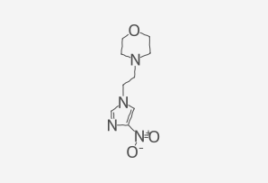 O=[N+]([O-])c1cn(CCN2CCOCC2)cn1